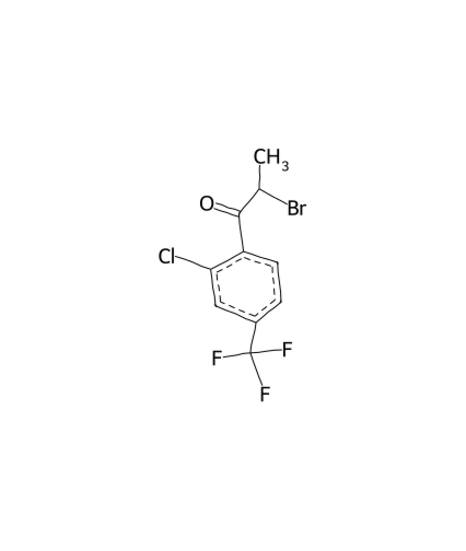 CC(Br)C(=O)c1ccc(C(F)(F)F)cc1Cl